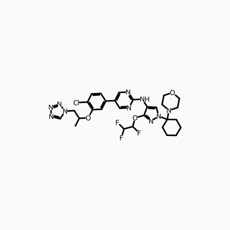 CC(Cn1cnnn1)Oc1cc(-c2cnc(Nc3cn(C4(N5CCOCC5)CCCCC4)nc3OC(F)C(F)F)nc2)ccc1Cl